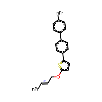 CCC/C=C/COc1ccc(-c2ccc(-c3ccc(CCC)cc3)cc2)s1